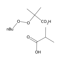 CC(C)C(=O)O.CCCCOOC(C)(C)C(=O)O